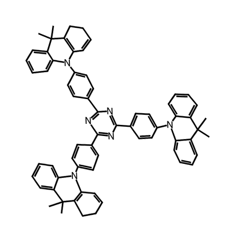 CC1(C)C2=C(C=CCC2)N(c2ccc(-c3nc(-c4ccc(N5C6=C(CCC=C6)C(C)(C)c6ccccc65)cc4)nc(-c4ccc(N5c6ccccc6C(C)(C)c6ccccc65)cc4)n3)cc2)c2ccccc21